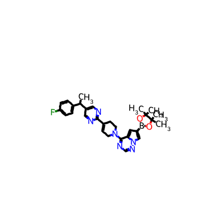 CC(c1ccc(F)cc1)c1cnc(C2=CCN(c3ncnn4cc(B5OC(C)(C)C(C)(C)O5)cc34)CC2)nc1